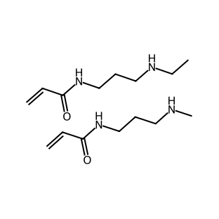 C=CC(=O)NCCCNC.C=CC(=O)NCCCNCC